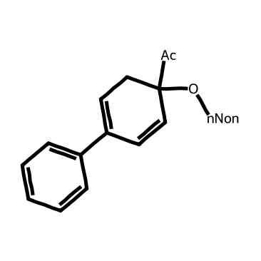 CCCCCCCCCOC1(C(C)=O)C=CC(c2ccccc2)=CC1